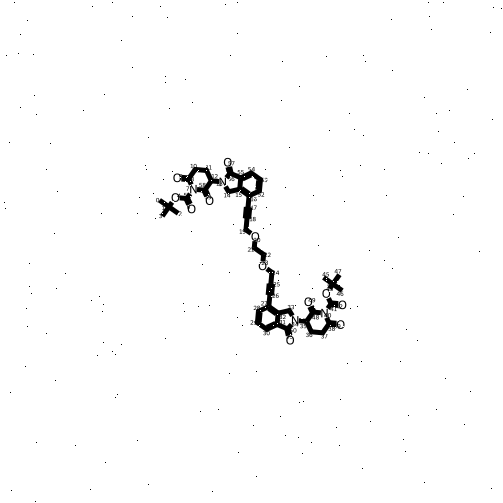 CC(C)(C)OC(=O)N1C(=O)CCC(N2Cc3c(C#CCOCCOCC#Cc4cccc5c4CN(C4CCC(=O)N(C(=O)OC(C)(C)C)C4=O)C5=O)cccc3C2=O)C1=O